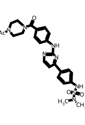 CC(=O)N1CCN(C(=O)c2ccc(Nc3nccc(-c4ccc(NS(=O)(=O)N(C)C)cc4)n3)cc2)CC1